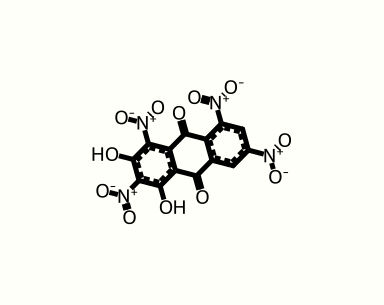 O=C1c2cc([N+](=O)[O-])cc([N+](=O)[O-])c2C(=O)c2c1c(O)c([N+](=O)[O-])c(O)c2[N+](=O)[O-]